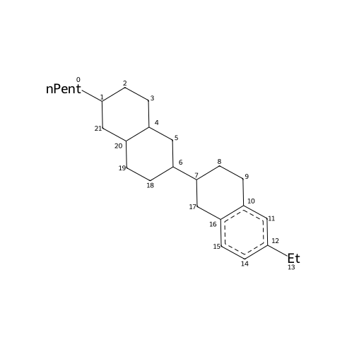 CCCCCC1CCC2CC(C3CCc4cc(CC)ccc4C3)CCC2C1